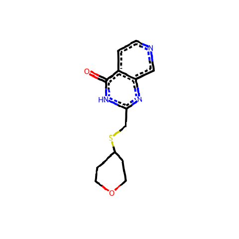 O=c1[nH]c(CSC2CCOCC2)nc2cnccc12